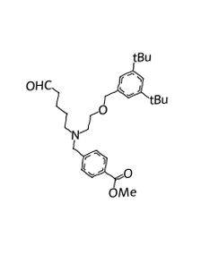 COC(=O)c1ccc(CN(CCCCC=O)CCOCc2cc(C(C)(C)C)cc(C(C)(C)C)c2)cc1